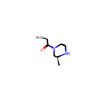 CC(=O)OCC(=O)N1CCN[C@@H](C)C1